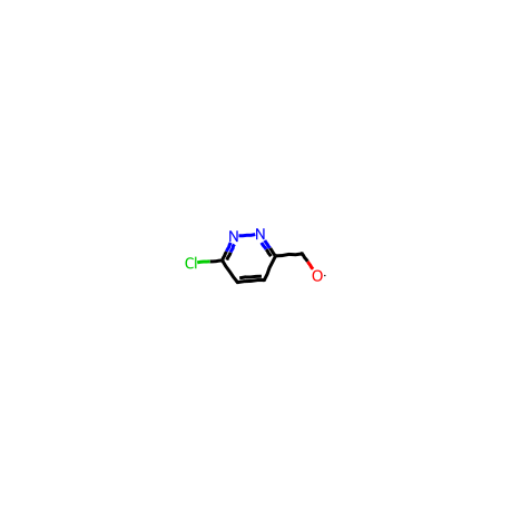 [O]Cc1ccc(Cl)nn1